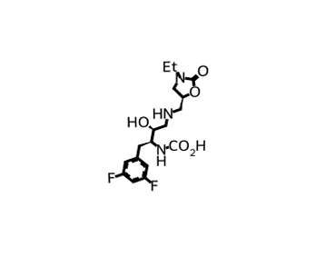 CCN1C[C@H](CNC[C@H](O)[C@H](Cc2cc(F)cc(F)c2)NC(=O)O)OC1=O